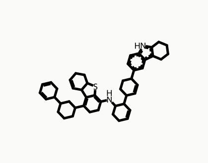 C1=CCC(C2CCCC(C3=C4C(=C(NC5CCC=CC5C5C=CC(c6ccc7[nH]c8c(c7c6)CCCC8)CC5)CC3)SC3CCC=CC43)C2)C=C1